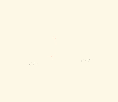 CCCCCCCOC(=O)C(C)(C)COC